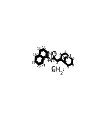 O=C(C=C1CCN2CCCC1C2)Nc1cccc2ccccc12.[CH2]